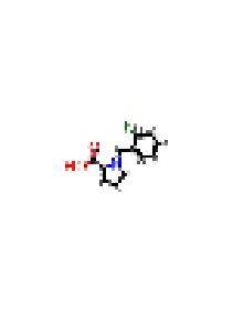 O=C(O)[C@@H]1CCCN1Cc1ccccc1F